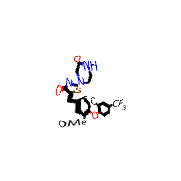 COc1cc(/C=C2\SC(N3CCNC(=O)C3)=NC2=O)ccc1Oc1ccc(C(F)(F)F)cc1C(F)(F)F